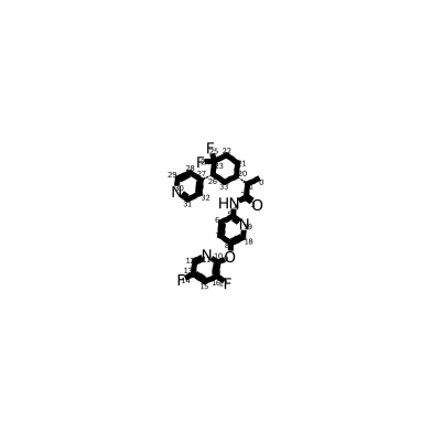 CC(C(=O)Nc1ccc(Oc2ncc(F)cc2F)cn1)[C@H]1CCC(F)(F)[C@@H](c2ccncc2)C1